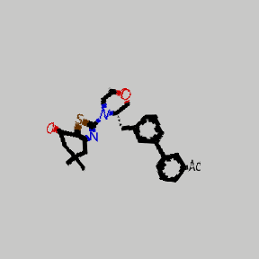 CC(=O)c1cccc(-c2cccc(C[C@H]3COCCN3c3nc4c(s3)C(=O)CC(C)(C)C4)c2)c1